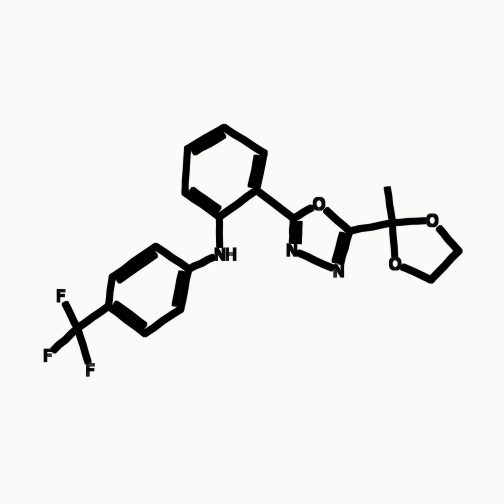 CC1(c2nnc(-c3ccccc3Nc3ccc(C(F)(F)F)cc3)o2)OCCO1